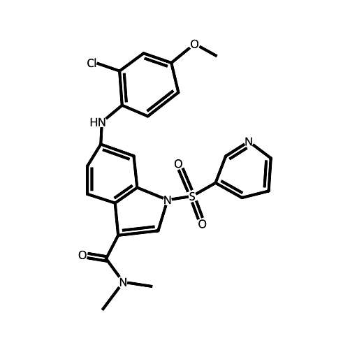 COc1ccc(Nc2ccc3c(C(=O)N(C)C)cn(S(=O)(=O)c4cccnc4)c3c2)c(Cl)c1